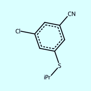 CC(C)Sc1cc(Cl)cc(C#N)c1